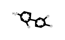 Cc1ccc(-c2ccc(Cl)c(Cl)c2)c(Cl)c1